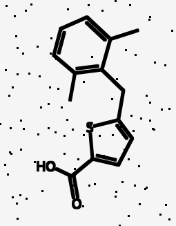 Cc1cccc(C)c1Cc1ccc(C(=O)O)s1